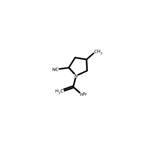 C=C(CCC)N1CC(C)CC1C#N